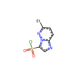 CCc1ccc2ncc(S(=O)(=O)Cl)n2n1